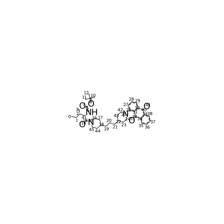 CC[C@@H](C)[C@H](NC(=O)OC(C)(C)C)C(=O)N1CCC(CCCC2CCN(c3cccc4c3C(=O)c3ccccc3C4=O)CC2)CC1